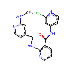 CNc1cc(CNc2ncccc2C(=O)Nc2ccnc(Cl)c2)ccn1